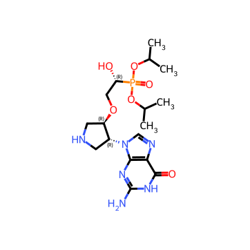 CC(C)OP(=O)(OC(C)C)[C@@H](O)CO[C@@H]1CNC[C@H]1n1cnc2c(=O)[nH]c(N)nc21